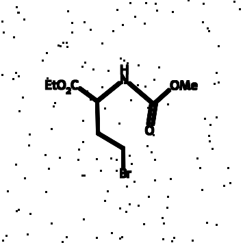 CCOC(=O)C(CCBr)NC(=O)OC